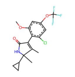 COc1cc(OC(F)(F)F)cc(Cl)c1C1=C(C)C(C)(C2CC2)NC1=O